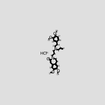 C=CCN(CCCN1CCc2cc(OC)c(OC)cc2CC1=O)CCc1ccc(OC)c(OC)c1.Cl